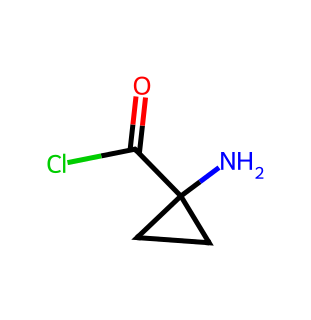 NC1(C(=O)Cl)CC1